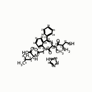 CC(C)C[C@H](NC(=O)CN1C(=O)C(N(C)C(=O)C(N)CS)N=C(c2ccccc2)c2ccccc21)C(=O)O.c1nnn[nH]1